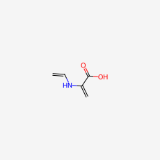 C=CNC(=C)C(=O)O